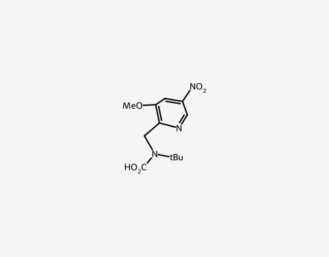 COc1cc([N+](=O)[O-])cnc1CN(C(=O)O)C(C)(C)C